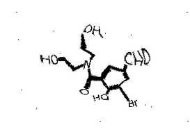 O=Cc1cc(Br)c(O)c(C(=O)N(CCO)CCO)c1